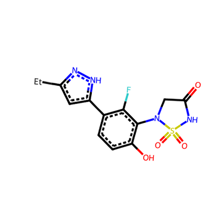 CCc1cc(-c2ccc(O)c(N3CC(=O)NS3(=O)=O)c2F)[nH]n1